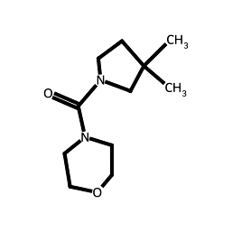 CC1(C)CCN(C(=O)N2CCOCC2)C1